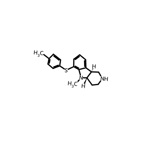 Cc1ccc(Sc2cccc3c2N(C)[C@H]2CCNC[C@H]32)cc1